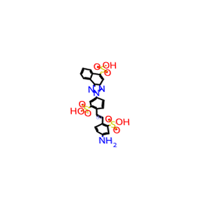 Nc1ccc(/C=C/c2ccc(-n3nc4cc(S(=O)(=O)O)c5ccccc5c4n3)cc2S(=O)(=O)O)c(S(=O)(=O)O)c1